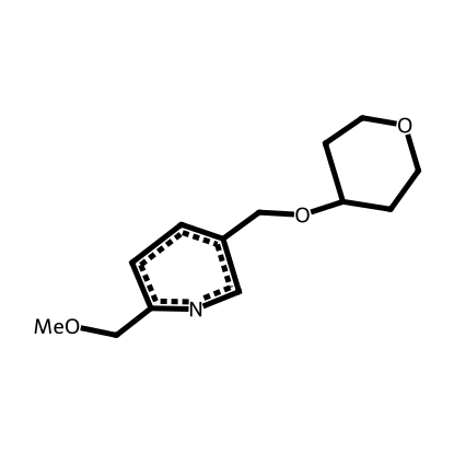 COCc1ccc(COC2CCOCC2)cn1